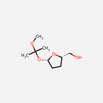 COC(C)(C)O[C@H]1CC[C@@H](CO)O1